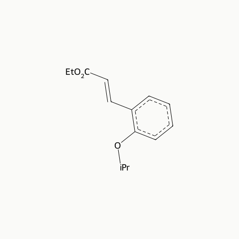 CCOC(=O)C=Cc1ccccc1OC(C)C